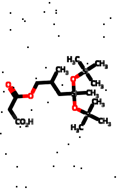 CC(COC(=O)CC(=O)O)C[Si](C)(O[Si](C)(C)C)O[Si](C)(C)C